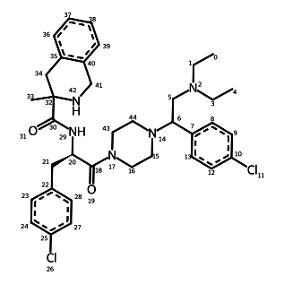 CCN(CC)CC(c1ccc(Cl)cc1)N1CCN(C(=O)[C@@H](Cc2ccc(Cl)cc2)NC(=O)C2(C)Cc3ccccc3CN2)CC1